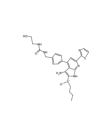 CCCC[S+]([O-])c1[nH]c2nc(-c3nccs3)cc(-c3ccc(CNC(=O)NCCO)cc3)c2c1N